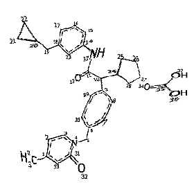 Cc1ccn(Cc2ccc(C(C(=O)Nc3cccc(CC4CC4)c3)C3CCCC3)cc2)c(=O)c1.O=C(O)O